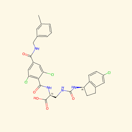 Cc1cccc(CNC(=O)c2cc(Cl)c(C(=O)N[C@@H](CNC(=O)N[C@@H]3CCc4cc(Cl)ccc43)C(=O)O)c(Cl)c2)c1